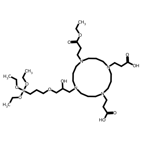 CCOC(=O)CCN1CCCN(CCC(=O)O)CCCN(CCC(=O)O)CCCN(CC(O)COCCC[Si](OCC)(OCC)OCC)CCC1